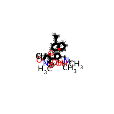 CCN(CC)C[C@H]1[C@@H](O)[C@@]2(O)c3c(cc(OC)nc3OC)O[C@@]2(c2ccc(C3CC3)cc2)[C@@H]1c1ccccc1